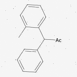 CC(=O)C(c1c[c]ccc1)c1ccccc1C